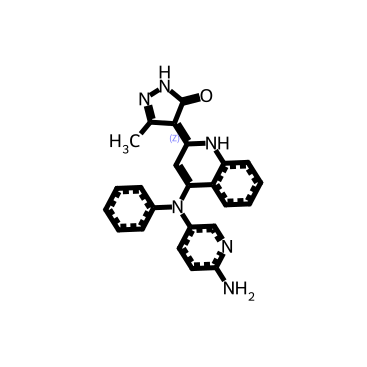 CC1=NNC(=O)/C1=C1/C=C(N(c2ccccc2)c2ccc(N)nc2)c2ccccc2N1